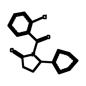 O=C1CCC(c2ccccc2)N1C(=O)c1ccccc1Cl